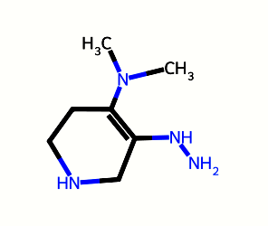 CN(C)C1=C(NN)CNCC1